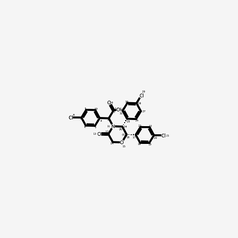 O=C(O)C(c1ccc(Cl)cc1)N1C(=O)CO[C@@H](c2ccc(Cl)cc2)[C@H]1c1ccc(Cl)cc1